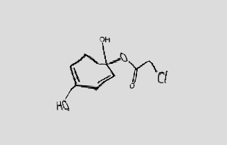 O=C(CCl)OC1(O)C=CC(O)=CC1